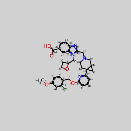 COc1ccc(COc2cccc(C34CCN(Cc5nc6ccc(C(=O)O)cc6n5CC5CCO5)CC3C4)n2)c(F)c1